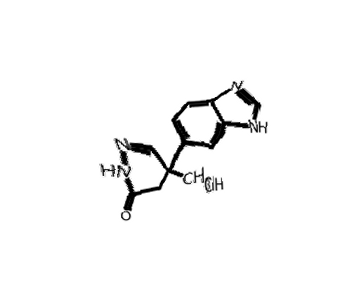 CC1(c2ccc3nc[nH]c3c2)C=NNC(=O)C1.Cl